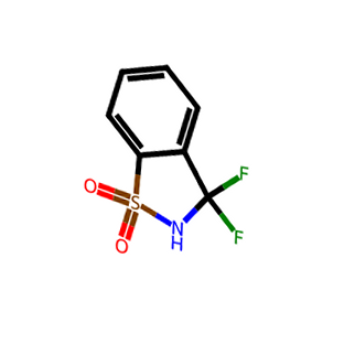 O=S1(=O)NC(F)(F)c2ccccc21